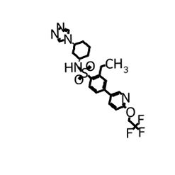 CCc1cc(-c2ccc(OCC(F)(F)F)nc2)ccc1S(=O)(=O)N[C@H]1CCC[C@@H](n2cnnc2)C1